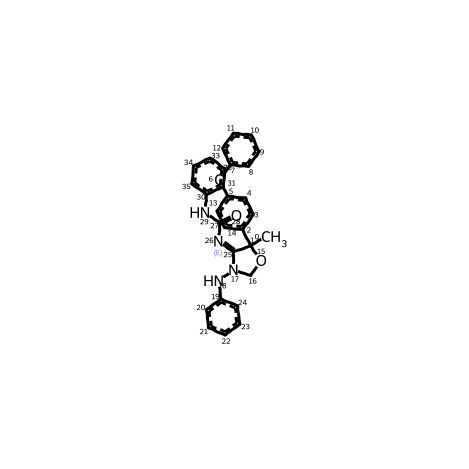 CC1(c2ccc(Oc3ccccc3)cc2)OCN(Nc2ccccc2)/C1=N/C(=O)Nc1ccccc1